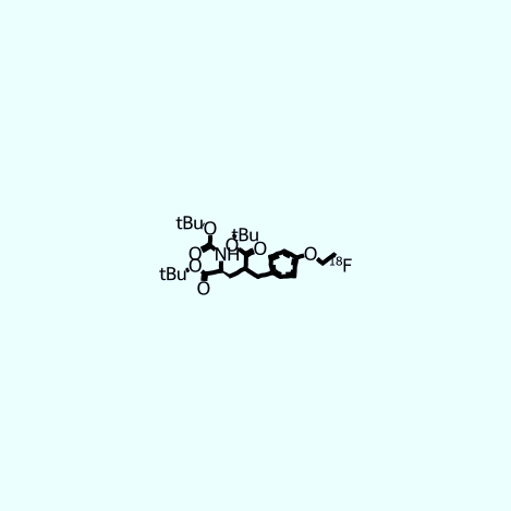 CC(C)(C)OC(=O)N[C@@H](CC(Cc1ccc(OCC[18F])cc1)C(=O)OC(C)(C)C)C(=O)OC(C)(C)C